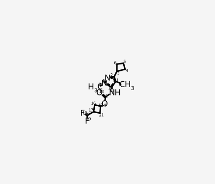 Cc1c(C2CCC2)nn(C)c1NC(=O)OC1CC(C(F)F)C1